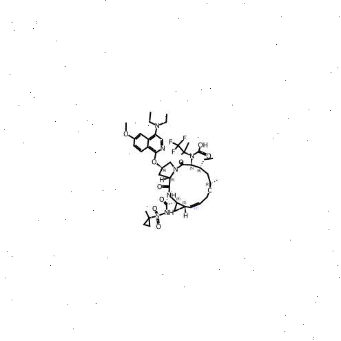 CC[C@@H]1C[C@H](C)CC/C=C\[C@@H]2C[C@@]2(C(=O)NS(=O)(=O)C2(C)CC2)NC(=O)[C@@H]2C[C@@H](Oc3ncc(N(CC)CC)c4cc(OC)ccc34)CN2C(=O)[C@H]1N(C(=O)O)C(C)(C)C(F)(F)F